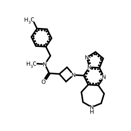 Cc1ccc(CN(C)C(=O)C2CN(c3c4c(nc5ccnn35)CCNCC4)C2)cc1